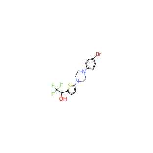 OC(c1ccc(N2CCN(c3ccc(Br)cc3)CC2)s1)C(F)(F)F